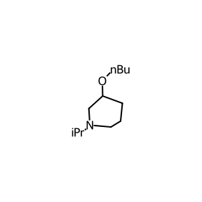 CCCCOC1CCCN(C(C)C)C1